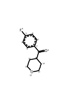 O=C(c1ccc(F)cc1)C1CCOCC1